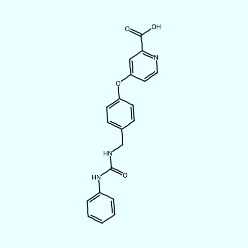 O=C(NCc1ccc(Oc2ccnc(C(=O)O)c2)cc1)Nc1ccccc1